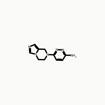 Nc1ccc(N2CCn3cncc3C2)nn1